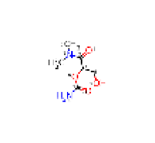 CN(C)C(=O)C(CO)OC(N)=O